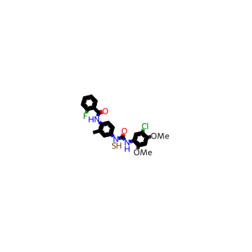 COc1cc(OC)c(NC(=O)N(S)c2ccc(NC(=O)c3ccccc3F)c(C)c2)cc1Cl